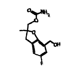 CC1(COC(N)=O)Cc2cc(F)cc(CO)c2O1